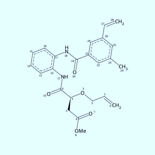 C=CCO[C@@H](CC(=O)OC)C(=O)Nc1ccccc1NC(=O)c1cc(C)cc(C=C)c1